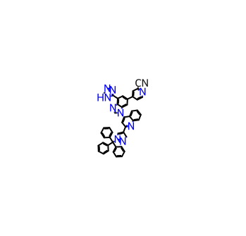 N#Cc1cc(-c2cc(-c3nnc[nH]3)c3ncn(-c4cc(-c5cnn(C(c6ccccc6)(c6ccccc6)c6ccccc6)c5)nc5ccccc45)c3c2)ccn1